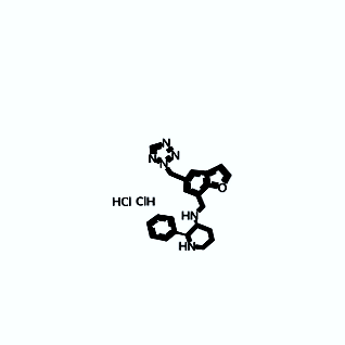 Cl.Cl.c1ccc([C@@H]2NCCC[C@@H]2NCc2cc(Cn3ncnn3)cc3ccoc23)cc1